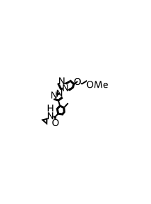 COCCOc1ccn2c(-n3cc(-c4cc(C(=O)NC5CC5)ccc4C)cn3)cnc2c1